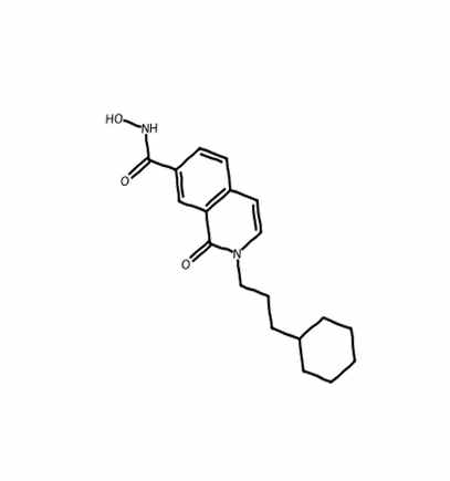 O=C(NO)c1ccc2ccn(CCCC3CCCCC3)c(=O)c2c1